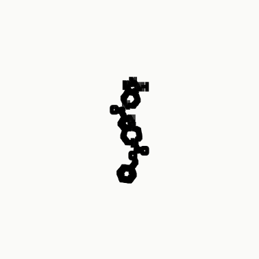 O=C(OCc1ccccc1)N1CCc2cc(C(=O)N3CCc4[nH]nnc4C3)nn2CC1